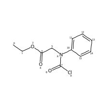 CCOC(=O)CN(C(=O)Cl)c1ccccc1